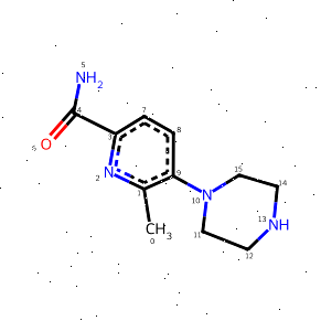 Cc1nc(C(N)=O)ccc1N1CCNCC1